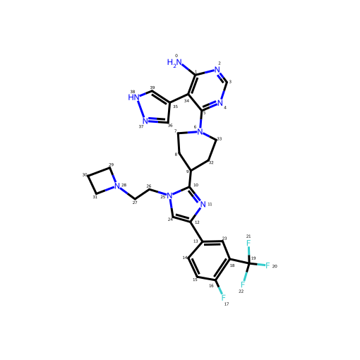 Nc1ncnc(N2CCC(c3nc(-c4ccc(F)c(C(F)(F)F)c4)cn3CCN3CCC3)CC2)c1-c1cn[nH]c1